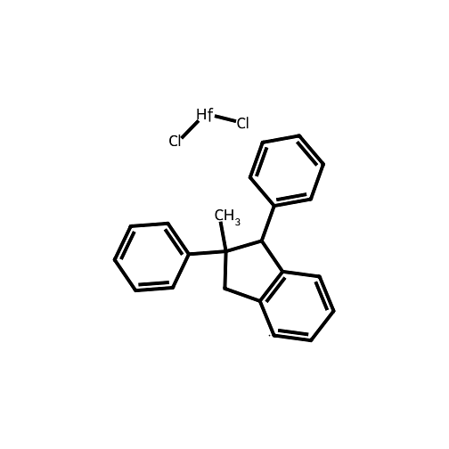 CC1(c2ccccc2)Cc2[c]cccc2C1c1ccccc1.[Cl][Hf][Cl]